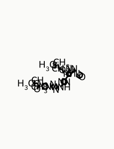 CC(C)(C)OC(=O)N1CCN(c2cnc(Nc3cnc(-c4cc5c(N6CCOCC6)ncnc5n4COCC[Si](C)(C)C)cn3)cn2)CC1